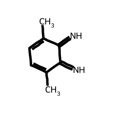 CC1=CC=C(C)C(=N)C1=N